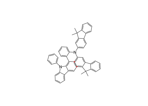 CC1(C)c2ccccc2-c2cc(N(c3ccc4c(c3)C(C)(C)c3ccccc3-4)c3ccccc3-c3cccc4c5ccccc5n(-c5ccccc5)c34)ccc21